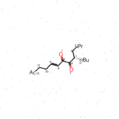 CCCC[C@@H](CC(C)C)C(=O)C(=O)/C=C/CCC(C)=O